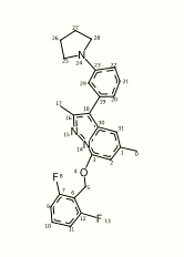 Cc1cc(OCc2c(F)cccc2F)n2nc(C)c(-c3cccc(N4CCCC4)c3)c2c1